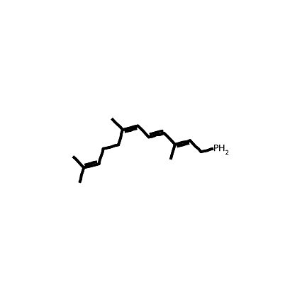 CC(C)=CCC\C(C)=C/C=C/C(C)=C/CP